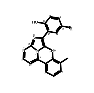 Cc1cccc2c1Nc1c(-c3cc(Br)ccc3O)nc3nccc-2n13